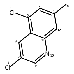 Cc1cc(Cl)c2cc(Cl)cnc2c1